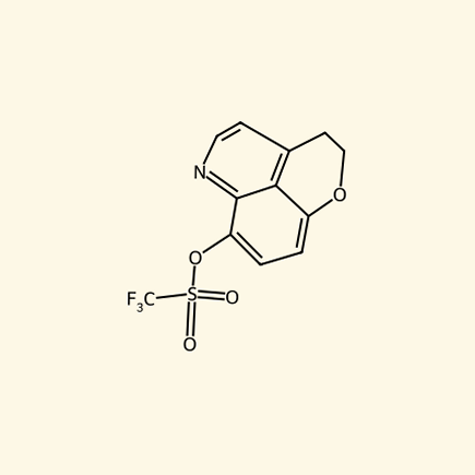 O=S(=O)(Oc1ccc2c3c(ccnc13)CCO2)C(F)(F)F